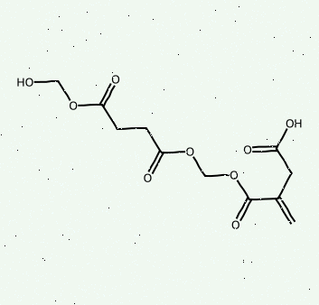 C=C(CC(=O)O)C(=O)OCOC(=O)CCC(=O)OCO